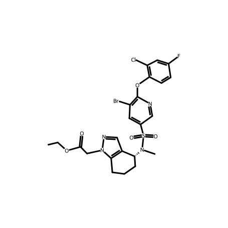 CCOC(=O)Cn1ncc2c1CCC[C@H]2N(C)S(=O)(=O)c1cnc(Oc2ccc(F)cc2Cl)c(Br)c1